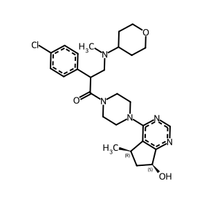 C[C@@H]1C[C@H](O)c2ncnc(N3CCN(C(=O)C(CN(C)C4CCOCC4)c4ccc(Cl)cc4)CC3)c21